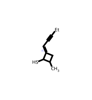 CCC#C/C=C1\CC(C)C1S